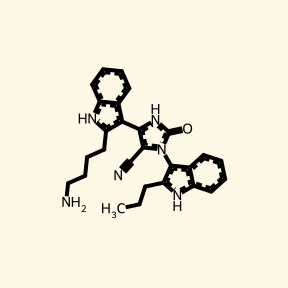 CCCc1[nH]c2ccccc2c1-n1c(C#N)c(-c2c(CCCCN)[nH]c3ccccc23)[nH]c1=O